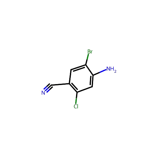 N#Cc1cc(Br)c(N)cc1Cl